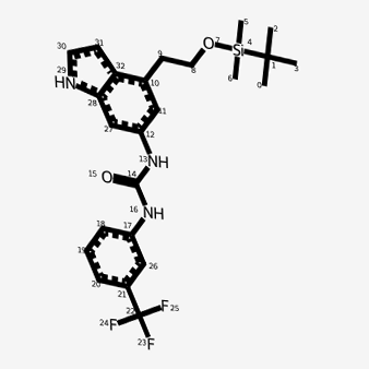 CC(C)(C)[Si](C)(C)OCCc1cc(NC(=O)Nc2cccc(C(F)(F)F)c2)cc2[nH]ccc12